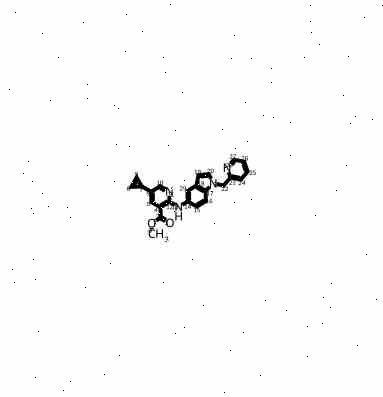 COC(=O)c1cc(C2C=C2)cnc1Nc1ccc2c(ccn2Cc2ccccn2)c1